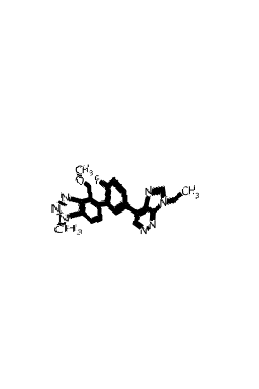 CCn1cnc2c(-c3ccc(F)c(-c4ccc5c(nnn5C)c4COC)c3)cnnc21